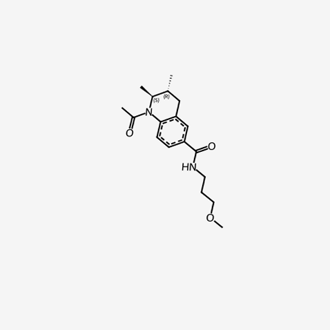 COCCCNC(=O)c1ccc2c(c1)C[C@@H](C)[C@H](C)N2C(C)=O